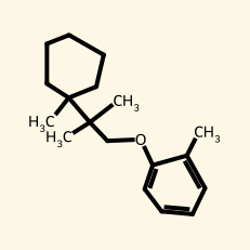 Cc1ccccc1OCC(C)(C)C1(C)CCCCC1